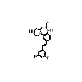 O=C1CC2CNCCN2c2cc(C=Cc3cc(F)cc(F)c3)ccc2N1